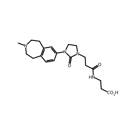 CN1CCc2ccc(N3CCN(CCC(=O)NCCC(=O)O)C3=O)cc2CC1